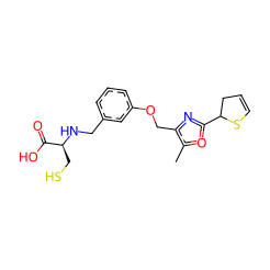 Cc1oc(C2CC=CS2)nc1COc1cccc(CN[C@@H](CS)C(=O)O)c1